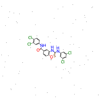 COc1ccc(C(=O)Nc2ccc(Cl)c(Cl)c2)cc1NC(=S)Nc1cc(Cl)cc(Cl)c1